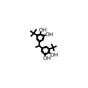 CC(c1cc(O)c(O)c(C(C)(C)C)c1)c1cc(O)c(O)c(C(C)(C)C)c1